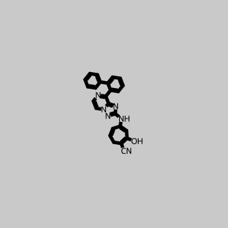 N#CC1=C(O)C=C(Nc2nc3c(-c4ccccc4-c4ccccc4)nccn3n2)C=CC1